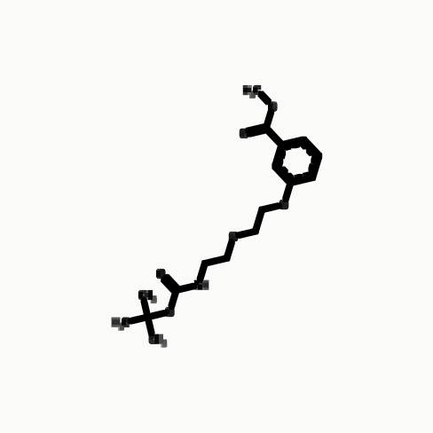 COC(=O)c1cccc(OCCOCCNC(=O)OC(C)(C)C)c1